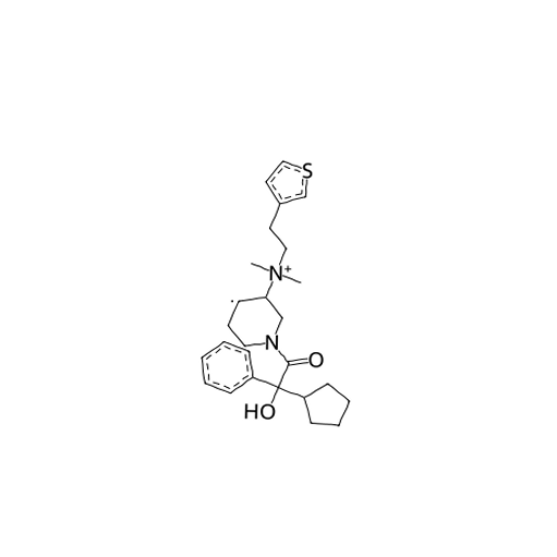 C[N+](C)(CCc1ccsc1)C1[CH]CCN(C(=O)C(O)(c2ccccc2)C2CCCC2)C1